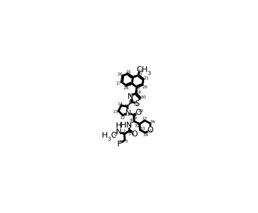 CNC(CF)C(=O)N[C@H](C(=O)N1CCC[C@H]1c1nc(-c2ccc(C)c3ccccc23)cs1)C1CCOCC1